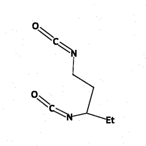 [CH2]CC(CCN=C=O)N=C=O